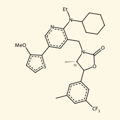 CCN(c1ncc(-c2sccc2OC)cc1CN1C(=O)OC(c2cc(C)cc(C(F)(F)F)c2)[C@@H]1C)C1CCCCC1